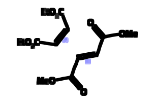 CCOC(=O)/C=C\C(=O)OCC.COC(=O)/C=C/C(=O)OC